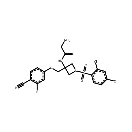 N#Cc1ccc(OCC2(NC(=O)CN)CN(S(=O)(=O)c3ccc(Cl)cc3Cl)C2)cc1F